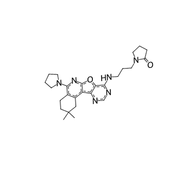 CC1(C)CCc2c(N3CCCC3)nc3oc4c(NCCCN5CCCC5=O)ncnc4c3c2C1